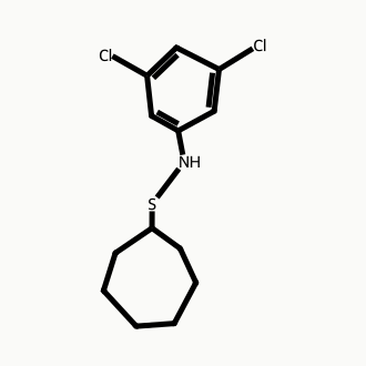 Clc1cc(Cl)cc(NSC2CCCCCC2)c1